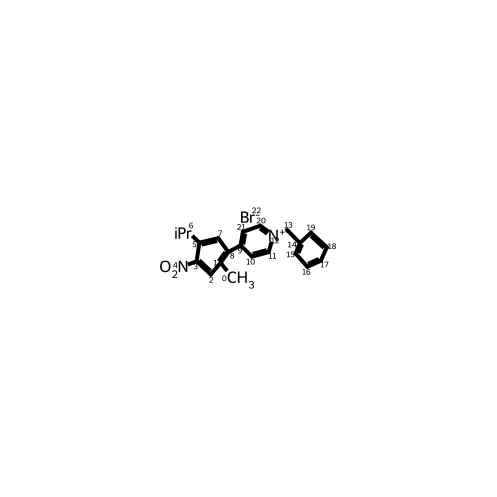 Cc1cc([N+](=O)[O-])c(C(C)C)cc1-c1cc[n+](Cc2ccccc2)cc1.[Br-]